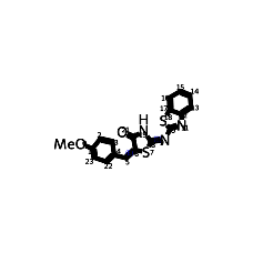 COc1ccc(/C=C2/S/C(=N/c3nc4ccccc4s3)NC2=O)cc1